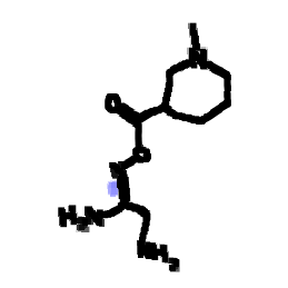 CN1CCCC(C(=O)O/N=C(/N)CN)C1